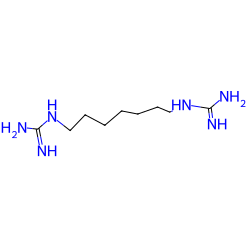 N=C(N)NCCCCCCCNC(=N)N